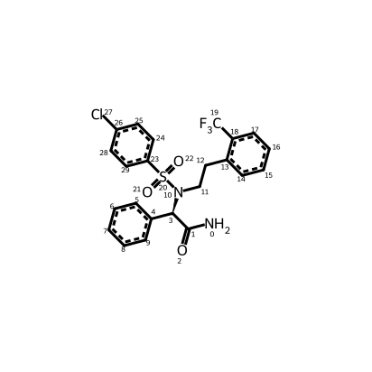 NC(=O)[C@@H](c1ccccc1)N(CCc1ccccc1C(F)(F)F)S(=O)(=O)c1ccc(Cl)cc1